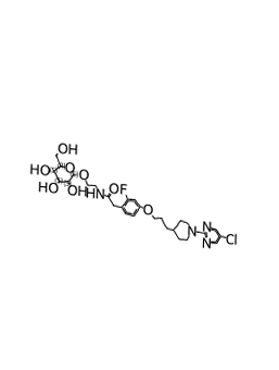 O=C(Cc1ccc(OCCCC2CCN(c3ncc(Cl)cn3)CC2)cc1F)NCCO[C@H]1O[C@H](CO)[C@@H](O)[C@H](O)[C@@H]1O